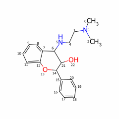 CN(C)CCNC1c2ccccc2OC(c2ccccc2)C1O